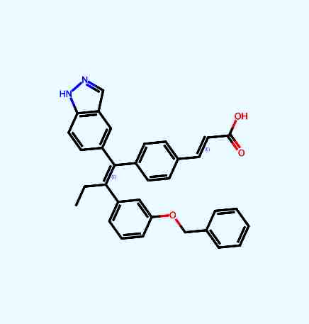 CC/C(=C(/c1ccc(/C=C/C(=O)O)cc1)c1ccc2[nH]ncc2c1)c1cccc(OCc2ccccc2)c1